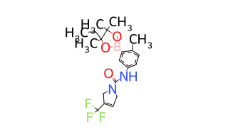 CCC1(C)OB(c2cc(NC(=O)N3CC=C(C(F)(F)F)C3)ccc2C)OC1(C)C